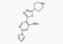 CNc1cc(-n2cccc2)ncc1-c1nnc(C2CCNCC2)s1